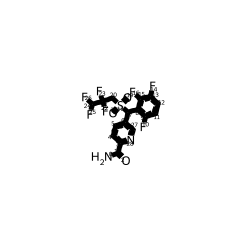 NC(=O)c1ccc(C(c2c(F)ccc(F)c2F)S(=O)(=O)CC(F)(F)C(F)F)cn1